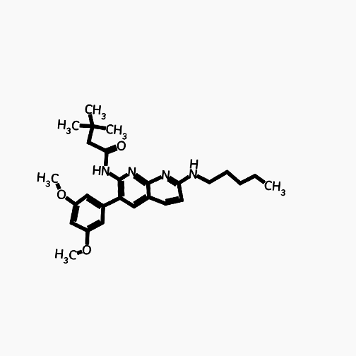 CCCCCNc1ccc2cc(-c3cc(OC)cc(OC)c3)c(NC(=O)CC(C)(C)C)nc2n1